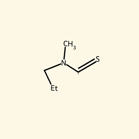 CCCN(C)[C]=S